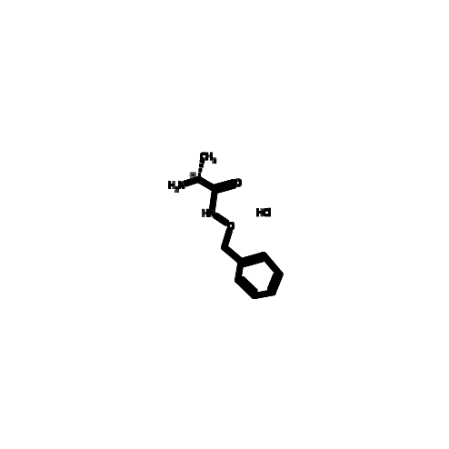 C[C@@H](N)C(=O)NOCc1ccccc1.Cl